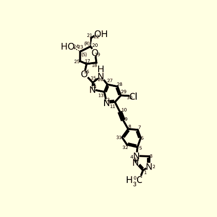 Cc1ncn(-c2ccc(C#Cc3nc4nc(OC5CO[C@H](CO)[C@@H](O)C5)[nH]c4cc3Cl)cc2)n1